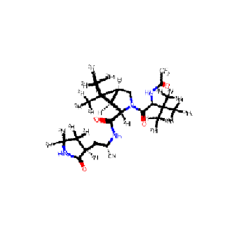 [2H]C([2H])([2H])C1(C([2H])([2H])[2H])[C@H]2[C@@H]1CN(C(=O)[C@@H](NC(=O)C(F)(F)F)C(C([2H])([2H])[2H])(C([2H])([2H])[2H])C([2H])([2H])[2H])[C@]2([2H])C(=O)N[C@H](C#N)C[C@@]1([2H])C(=O)NC([2H])([2H])C1([2H])[2H]